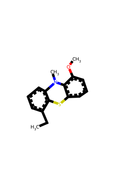 CCc1cccc2c1Sc1cccc(OC)c1N2C